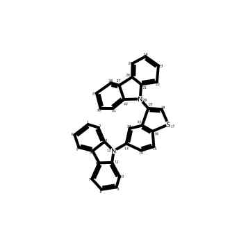 c1ccc2c(c1)c1ccccc1n2-c1ccc2scc(-n3c4ccccc4c4ccccc43)c2c1